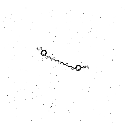 Nc1ccc(OCCOCCOCCOCCOc2ccc(N)cc2)cc1